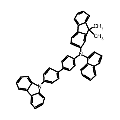 CC1(C)c2ccccc2-c2ccc(N(c3ccc(-c4ccc(-n5c6ccccc6c6ccccc65)cc4)cc3)c3cccc4ccccc34)cc21